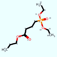 CCCOC(=O)CCCP(=O)(OCC)OCC